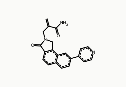 C=C(CN1Cc2c(ccc3ccc(-c4ccncc4)cc23)C1=O)C(N)=O